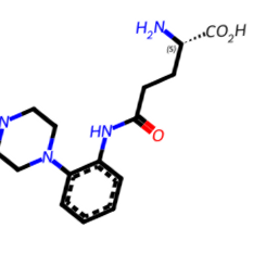 N[C@@H](CCC(=O)Nc1ccccc1N1CCNCC1)C(=O)O